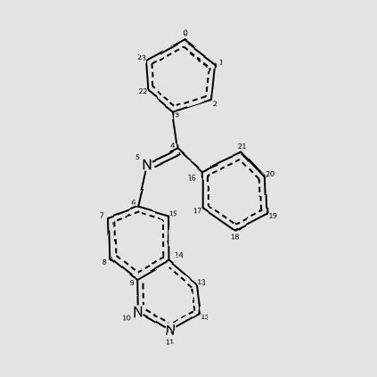 c1ccc(C(=Nc2ccc3nnccc3c2)c2ccccc2)cc1